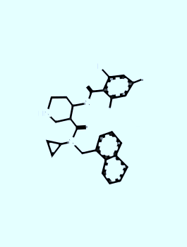 Cl.O=C(NC1CCNCC1C(=O)N(Cc1cccc2ccccc12)C1CC1)c1c(F)cc(F)cc1F